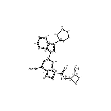 CNc1cc(-c2cn([C@@H]3CCCOC3)c3ncccc23)nc2c(C(=O)N[C@@H]3CC[C@@H]3O)cnn12